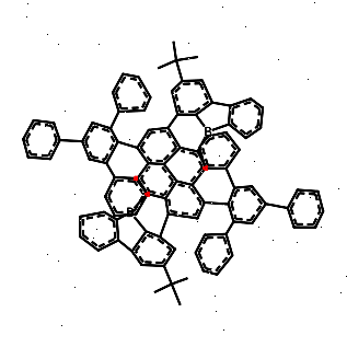 CC(C)(C)c1cc2c3c(c1)-c1cc(-c4c(-c5ccccc5)cc(-c5ccccc5)cc4-c4ccccc4)c4cc5c6c(cc(-c7c(-c8ccccc8)cc(-c8ccccc8)cc7-c7ccccc7)c7cc(c1c4c76)B3c1ccccc1-2)-c1cc(C(C)(C)C)cc2c1B5c1ccccc1-2